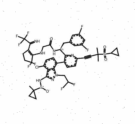 CC1([S+]([O-])Nc2nn(CC(F)F)c3c(-c4ccc(C#CC(C)(C)S(=O)(=O)C5CC5)nc4[C@H](Cc4cc(F)cc(F)c4)NC(=O)CNC4=C(C(=N)C(F)(F)F)CCC4(F)F)ccc(Cl)c23)CC1